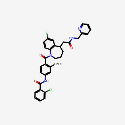 COc1cc(NC(=O)c2ccccc2Cl)ccc1C(=O)N1CCCC(CC(=O)NCc2ccccn2)c2cc(Cl)ccc21